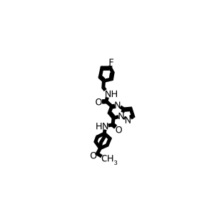 CC(=O)C12CCC(NC(=O)c3cc(C(=O)NCc4ccc(F)cc4)nc4ccnn34)(CC1)CC2